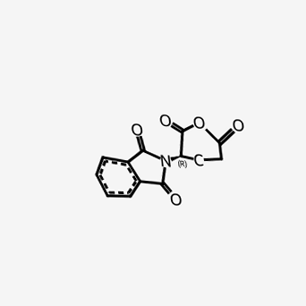 O=C1CC[C@@H](N2C(=O)c3ccccc3C2=O)C(=O)O1